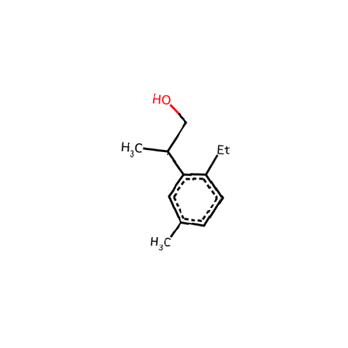 CCc1ccc(C)cc1[C](C)CO